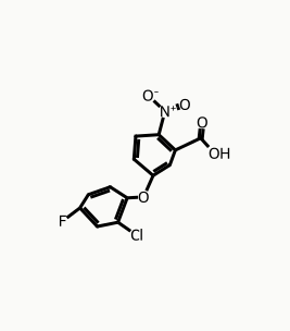 O=C(O)c1cc(Oc2ccc(F)cc2Cl)ccc1[N+](=O)[O-]